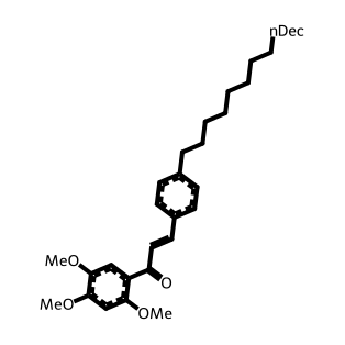 CCCCCCCCCCCCCCCCCCc1ccc(C=CC(=O)c2cc(OC)c(OC)cc2OC)cc1